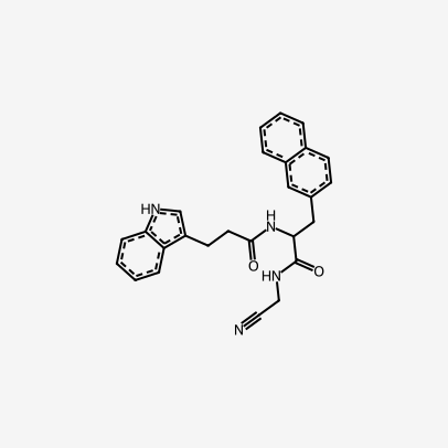 N#CCNC(=O)C(Cc1ccc2ccccc2c1)NC(=O)CCc1c[nH]c2ccccc12